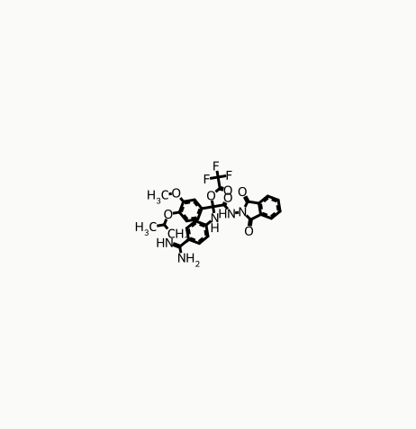 COc1cc(C(Nc2ccc(C(=N)N)cc2)(OC(=O)C(F)(F)F)C(=O)NN2C(=O)c3ccccc3C2=O)ccc1OC(C)C